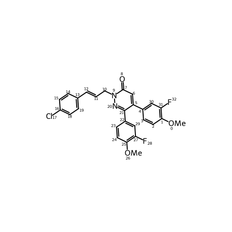 COc1ccc(-c2cc(=O)n(CC=Cc3ccc(Cl)cc3)nc2-c2ccc(OC)c(F)c2)cc1F